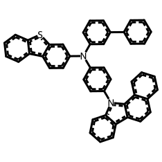 c1ccc(-c2cccc(N(c3ccc(-n4c5ccccc5c5ccc6ccccc6c54)cc3)c3ccc4c(c3)sc3ccccc34)c2)cc1